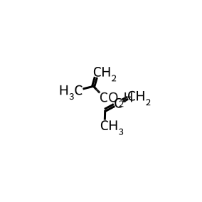 C=C(C)C(=O)O.C=C=CC